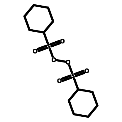 O=S(=O)(OOS(=O)(=O)C1CCCCC1)C1CCCCC1